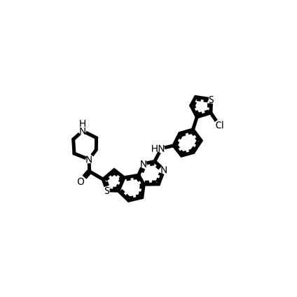 O=C(c1cc2c(ccc3cnc(Nc4cccc(-c5ccsc5Cl)c4)nc32)s1)N1CCNCC1